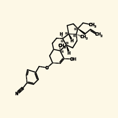 C=CC[C@]1(CC)CC[C@H]2[C@@H]3CCC4CC(OCc5ccc(C#N)cc5)C=C(O)[C@]4(C)[C@H]3CC[C@@]21C